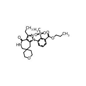 CCCOC(=O)c1cccc(-n2nc(CC)c3c2CC2(CCOCC2)CNC3=O)c1S(C)(=O)=O